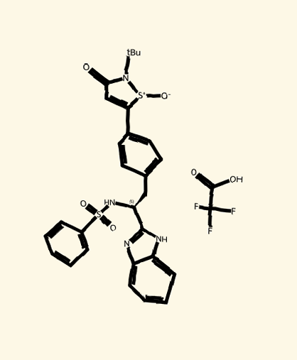 CC(C)(C)n1c(=O)cc(-c2ccc(C[C@H](NS(=O)(=O)c3ccccc3)c3nc4ccccc4[nH]3)cc2)[s+]1[O-].O=C(O)C(F)(F)F